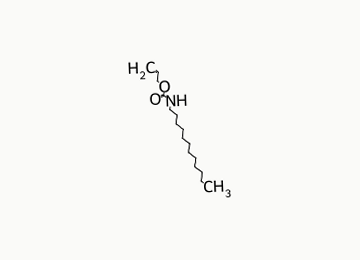 C=CCOC(=O)NCCCCCCCCCCCC